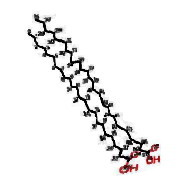 CCCCCCCCCCCCCCCCCCCCCCCC(=O)O.CCCCCCCCCCCCCCCCCCCCCCCCCC(=O)O